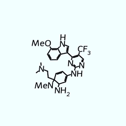 CNC1(CCN(C)C)C=CC(Nc2ncc(C(F)(F)F)c(-c3c[nH]c4c(OC)cccc34)n2)=CC1N